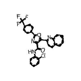 O=C(Nc1ccccc1Cl)c1nc(-c2ccc(C(F)(F)F)cc2)oc1-c1ccc2ccccc2n1